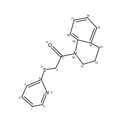 O=C(CSc1ccccn1)N1CCCc2ccccc21